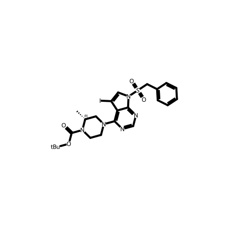 C[C@@H]1CN(c2ncnc3c2c(I)cn3S(=O)(=O)Cc2ccccc2)CCN1C(=O)OC(C)(C)C